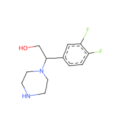 OCC(c1ccc(F)c(F)c1)N1CCNCC1